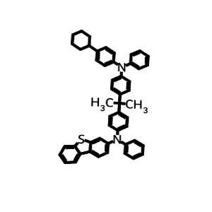 CC(C)(c1ccc(N(c2ccccc2)c2ccc(C3CCCCC3)cc2)cc1)c1ccc(N(c2ccccc2)c2ccc3c(c2)sc2ccccc23)cc1